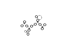 c1ccc(N(c2ccccc2)c2ccc(N(c3ccc(-c4ccc(N(c5ccc(N(c6ccccc6)c6ccccc6)cc5)c5ccc6c(c5)C5(CCCC5)c5ccccc5-6)cc4)cc3)c3ccc4c(c3)CCCCCCc3ccccc3-4)cc2)cc1